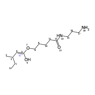 CCC(C)/C=C(\O)OCCCCC(=O)NCCCN